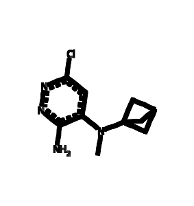 CN(c1cc(Cl)nnc1N)C12CC(C1)C2